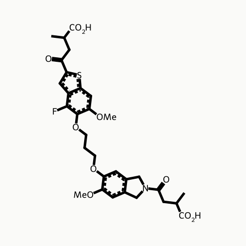 COc1cc2c(cc1OCCCOc1c(OC)cc3sc(C(=O)CC(C)C(=O)O)cc3c1F)CN(C(=O)CC(C)C(=O)O)C2